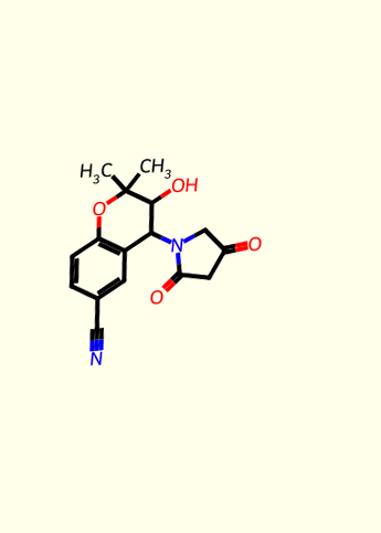 CC1(C)Oc2ccc(C#N)cc2C(N2CC(=O)CC2=O)C1O